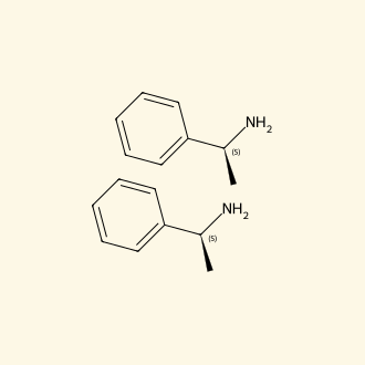 C[C@H](N)c1ccccc1.C[C@H](N)c1ccccc1